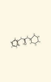 O=C(Cc1ccccn1)CC1CCCCC1